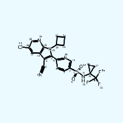 N#Cc1c(-c2ccc(S(=O)(=O)NC3(C(F)(F)F)CC3)cn2)n(C2CCC2)c2ncc(Cl)cc12